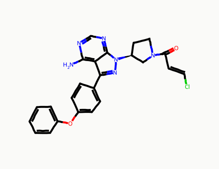 Nc1ncnc2c1c(-c1ccc(Oc3ccccc3)cc1)nn2[C@H]1CCN(C(=O)/C=C/Cl)C1